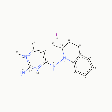 Cc1cc(NN2c3ccccc3CCC2C)nc(N)[n+]1C.[I-]